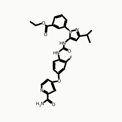 CCOC(=O)c1cccc(-n2nc(C(C)C)cc2NC(=O)Nc2ccc(Oc3ccnc(C(N)=O)c3)cc2F)c1